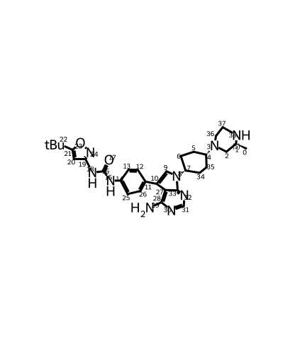 C[C@H]1CN([C@H]2CC[C@@H](n3cc(-c4ccc(NC(=O)Nc5cc(C(C)(C)C)on5)cc4)c4c(N)ncnc43)CC2)CCN1